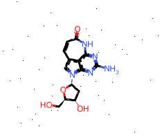 Nc1nc2c3c(cn([C@@H]4C[C@H](O)[C@@H](CO)O4)c3n1)C=CC(=O)N2